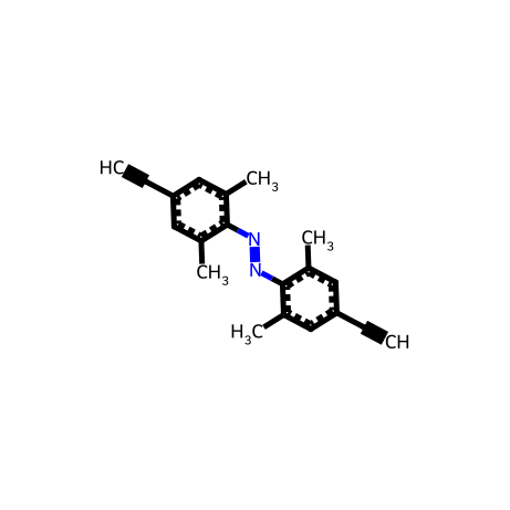 C#Cc1cc(C)c(N=Nc2c(C)cc(C#C)cc2C)c(C)c1